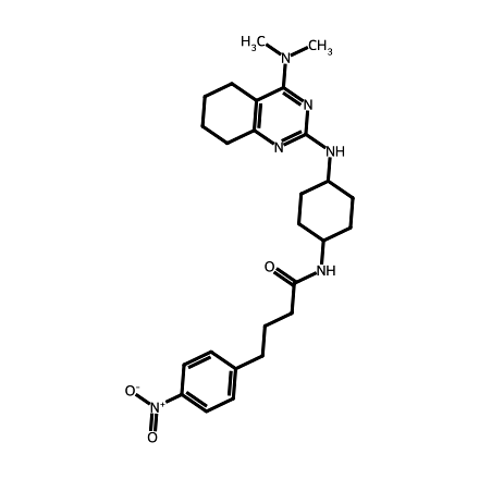 CN(C)c1nc(NC2CCC(NC(=O)CCCc3ccc([N+](=O)[O-])cc3)CC2)nc2c1CCCC2